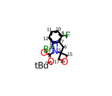 CC(C)(C)OC(=O)NC1(Cc2c(F)cccc2Br)COC1